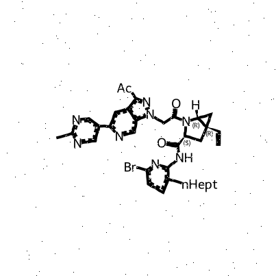 C=C[C@@]12C[C@@H](C(=O)Nc3nc(Br)ccc3CCCCCCC)N(C(=O)Cn3nc(C(C)=O)c4cc(-c5cnc(C)nc5)ncc43)[C@@H]1C2